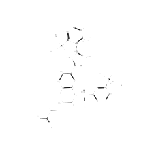 O=C(O)CC[C@H]1CN(S(=O)(=O)c2cccc(C(F)(F)F)c2)c2cc(-c3nc(-c4c(Cl)cccc4C(F)(F)F)no3)ccc2O1